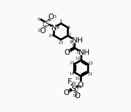 CS(=O)(=O)N1CCC(NC(=O)Nc2ccc(OS(=O)(=O)F)cc2)CC1